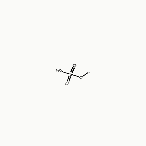 [CH2]OS(=O)(=O)O